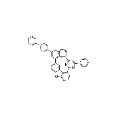 c1ccc(-c2ccc(-c3cccc(-c4ccc5oc6cccc(-c7nc(-c8ccccc8)cc(-c8ccccc8)n7)c6c5c4)c3)cc2)cc1